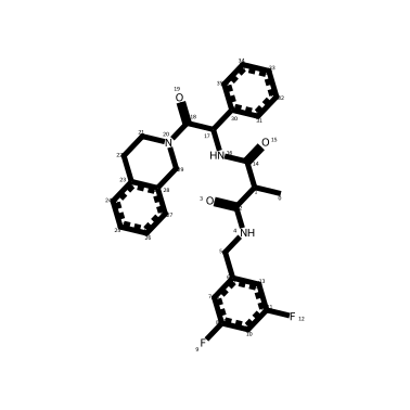 CC(C(=O)NCc1cc(F)cc(F)c1)C(=O)NC(C(=O)N1CCc2ccccc2C1)c1ccccc1